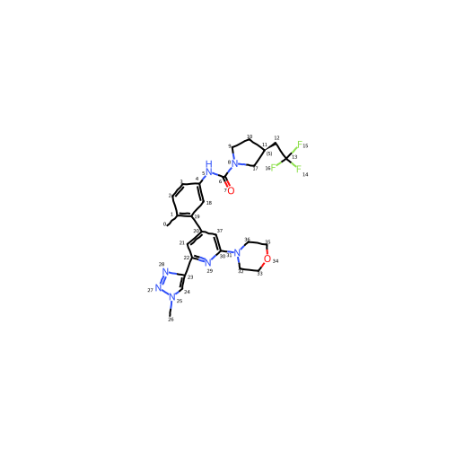 Cc1ccc(NC(=O)N2CC[C@@H](CC(F)(F)F)C2)cc1-c1cc(-c2cn(C)nn2)nc(N2CCOCC2)c1